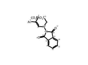 CCOC(=O)CN(C=C(C(C)=O)C(=O)OCC)N1C(=O)c2ccccc2C1=O